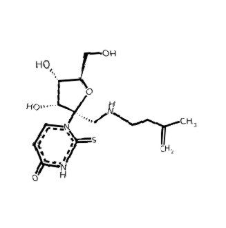 C=C(C)CCNC[C@@]1(n2ccc(=O)[nH]c2=S)O[C@H](CO)[C@@H](O)[C@H]1O